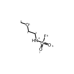 COCCNS(=O)(=O)F